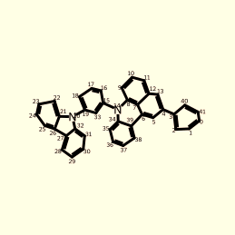 c1ccc(-c2cc3c4c(cccc4c2)N(c2cccc(-n4c5ccccc5c5ccccc54)c2)c2ccccc2-3)cc1